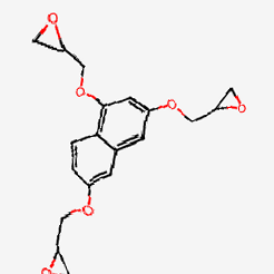 c1cc2c(OCC3CO3)cc(OCC3CO3)cc2cc1OCC1CO1